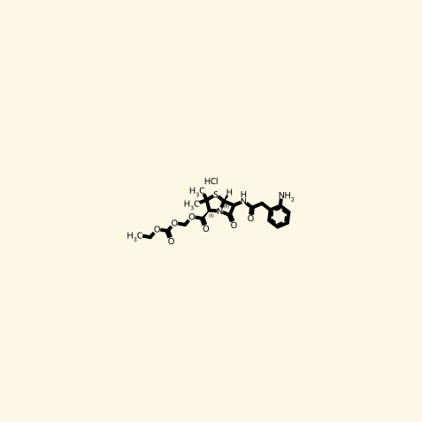 CCOC(=O)OCOC(=O)[C@@H]1N2C(=O)C(NC(=O)Cc3ccccc3N)[C@H]2SC1(C)C.Cl